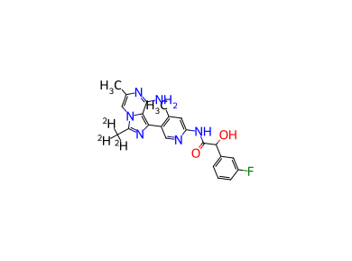 [2H]C([2H])([2H])c1nc(-c2cnc(NC(=O)C(O)c3cccc(F)c3)cc2C)c2c(N)nc(C)cn12